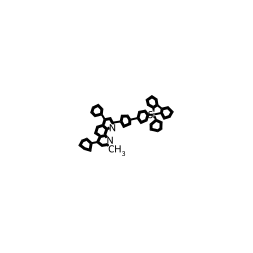 Cc1cc(-c2ccccc2)c2ccc3c(-c4ccccc4)cc(-c4ccc(-c5ccc([Si]6(c7ccccc7)c7ccccc7-c7ccccc76)cc5)cc4)nc3c2n1